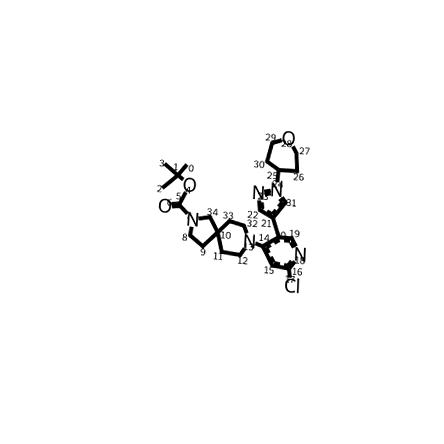 CC(C)(C)OC(=O)N1CCC2(CCN(c3cc(Cl)ncc3-c3cnn(C4CCOCC4)c3)CC2)C1